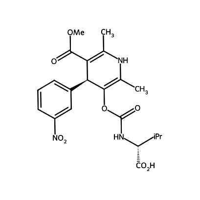 COC(=O)C1=C(C)NC(C)=C(OC(=O)N[C@@H](C(=O)O)C(C)C)[C@H]1c1cccc([N+](=O)[O-])c1